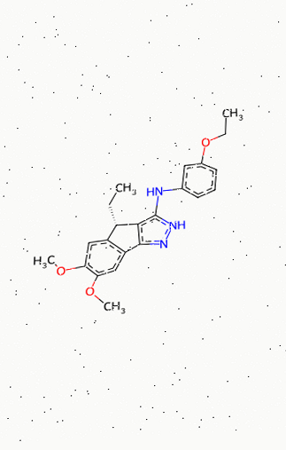 CCOc1cccc(Nc2[nH]nc3c2[C@@H](CC)c2cc(OC)c(OC)cc2-3)c1